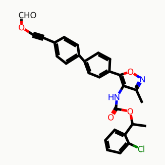 Cc1noc(-c2ccc(-c3ccc(C#COC=O)cc3)cc2)c1NC(=O)OC(C)c1ccccc1Cl